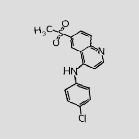 CS(=O)(=O)c1ccc2nccc(Nc3ccc(Cl)cc3)c2c1